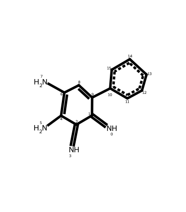 N=C1C(=N)C(N)=C(N)C=C1c1ccccc1